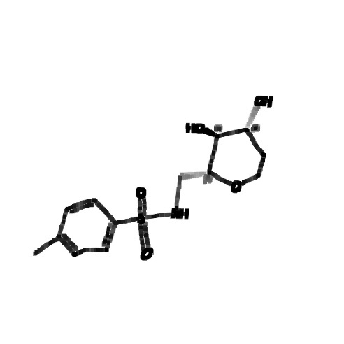 Cc1ccc(S(=O)(=O)NC[C@H]2OCC[C@@H](O)[C@@H]2O)cc1